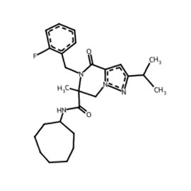 CC(C)c1cc2n(n1)CC(C)(C(=O)NC1CCCCCCC1)N(Cc1ccccc1F)C2=O